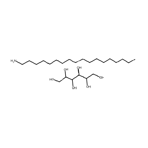 CCCCCCCCCCCCCCCCCCN.OCC(O)C(O)C(O)C(O)CO